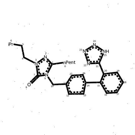 CCCCCc1nn(CCC(C)C)c(=O)n1Cc1ccc(-c2ccccc2-c2nnn[nH]2)cc1